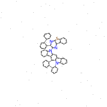 c1ccc(-c2ccccc2-c2nc3sc4ccccc4c3nc2-n2c3ccccc3c3c4c5c(cc32)c2ccccc2n5-c2ccccc2-c2ccccc2-4)cc1